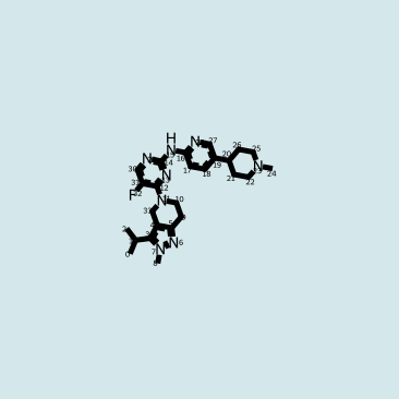 CC(C)c1c2c(nn1C)CCN(c1nc(Nc3ccc(C4CCN(C)CC4)cn3)ncc1F)C2